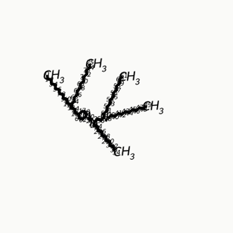 CCCCCCCCCCCCC(=CCCC1CCN(CCN(CCCCCCCCCCCC)CCN(CCCCCCCCCCCC)CCCCCCCCCCCC)CC1)CCCCCCCCCCCC